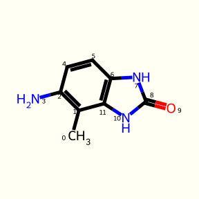 Cc1c(N)ccc2[nH]c(=O)[nH]c12